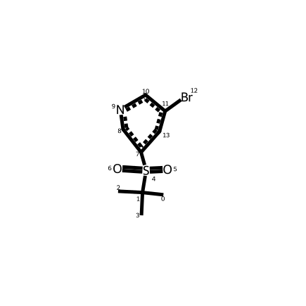 CC(C)(C)S(=O)(=O)c1cncc(Br)c1